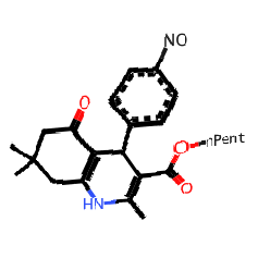 CCCCCOC(=O)C1=C(C)NC2=C(C(=O)CC(C)(C)C2)C1c1ccc(N=O)cc1